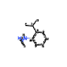 C=C.CC(C)c1ccccc1N